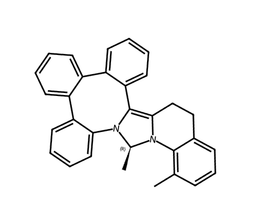 Cc1cccc2c1N1C(=C3c4ccccc4-c4ccccc4-c4ccccc4N3[C@@H]1C)CC2